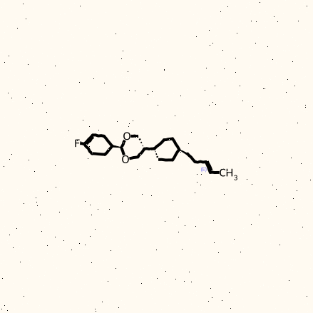 C/C=C/CC[C@H]1CC[C@H]([C@H]2CO[C@H](C3CC=C(F)CC3)OC2)CC1